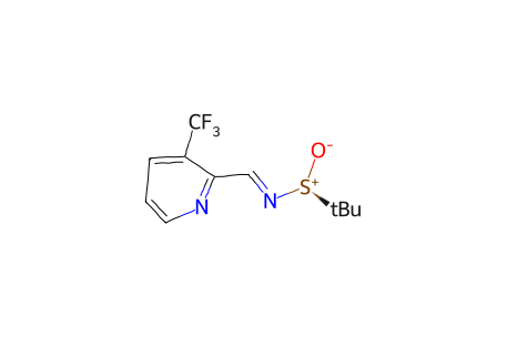 CC(C)(C)[S@+]([O-])N=Cc1ncccc1C(F)(F)F